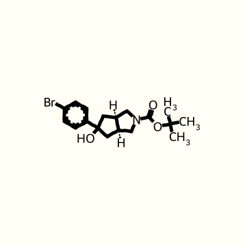 CC(C)(C)OC(=O)N1C[C@@H]2CC(O)(c3ccc(Br)cc3)C[C@@H]2C1